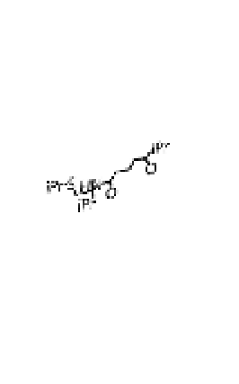 CC(C)SCC(NC(=O)CCCC(=O)C(C)C)C(C)C